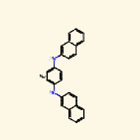 [Na].c1ccc2cc(Nc3ccc(Nc4ccc5ccccc5c4)cc3)ccc2c1